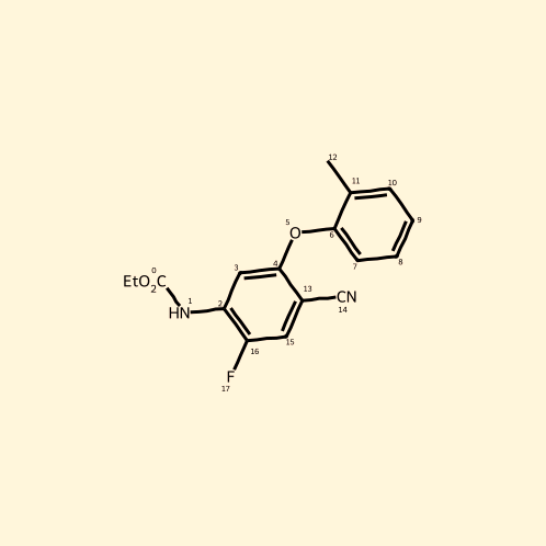 CCOC(=O)Nc1cc(Oc2ccccc2C)c(C#N)cc1F